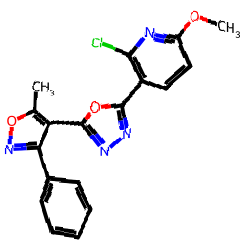 COc1ccc(-c2nnc(-c3c(-c4ccccc4)noc3C)o2)c(Cl)n1